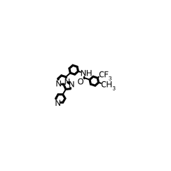 Cc1ccc(C(=O)Nc2cccc(-c3ccnc4c(-c5ccncc5)cnn34)c2)cc1C(F)(F)F